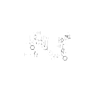 Cc1ncsc1-c1ccc([C@H](C)NC(=O)[C@@H]2C[C@@H](O)CN2C(=O)[C@@H](NC(=O)c2ncc(N3CCC(C(=O)N4CC([C@@H](c5ccccc5)n5cc(NC(=O)c6n[nH]c7c6C[C@@H]6C(F)(F)[C@]6(C)C7)cn5)C4)CC3)cn2)C(C)(C)C)cc1